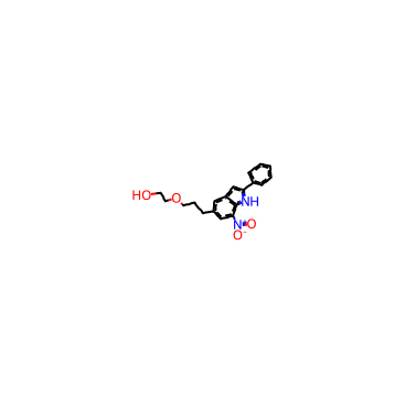 O=[N+]([O-])c1cc(CCCOCCO)cc2cc(-c3ccccc3)[nH]c12